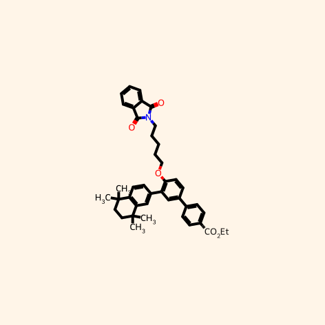 CCOC(=O)c1ccc(-c2ccc(OCCCCCN3C(=O)c4ccccc4C3=O)c(-c3ccc4c(c3)C(C)(C)CCC4(C)C)c2)cc1